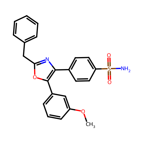 COc1cccc(-c2oc(Cc3ccccc3)nc2-c2ccc(S(N)(=O)=O)cc2)c1